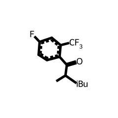 CCC(C)C(C)C(=O)c1ccc(F)cc1C(F)(F)F